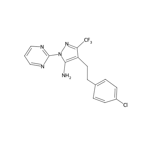 Nc1c(CCc2ccc(Cl)cc2)c(C(F)(F)F)nn1-c1ncccn1